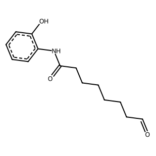 O=CCCCCCCC(=O)Nc1ccccc1O